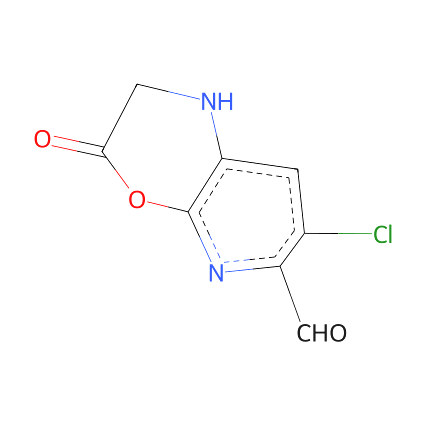 O=Cc1nc2c(cc1Cl)NCC(=O)O2